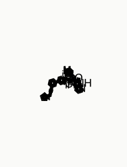 CC(C)c1cc(-c2cccc(C#CCN3CCCC3)c2)cc(C(C)C)c1NC(=O)N(Cc1ccncc1)c1cc2cccnc2[nH]c1=O